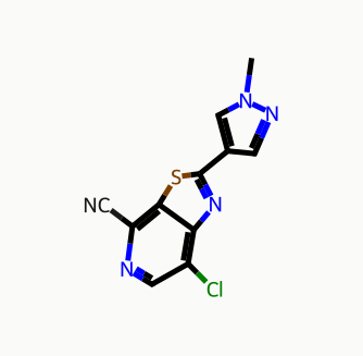 Cn1cc(-c2nc3c(Cl)cnc(C#N)c3s2)cn1